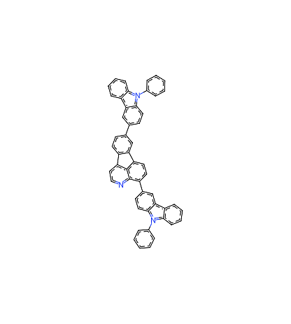 c1ccc(-n2c3ccccc3c3cc(-c4ccc5c(c4)-c4ccc(-c6ccc7c(c6)c6ccccc6n7-c6ccccc6)c6nccc-5c46)ccc32)cc1